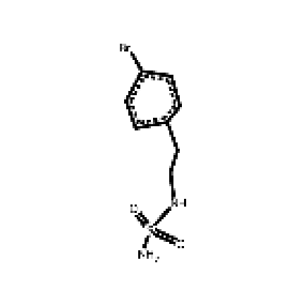 NS(=O)(=O)NCCc1ccc(Br)cc1